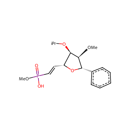 CO[C@@H]1[C@H](OC(C)C)[C@@H](/C=C/P(=O)(O)OC)O[C@H]1c1ccccc1